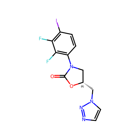 O=C1O[C@@H](Cn2ccnn2)CN1c1ccc(I)c(F)c1F